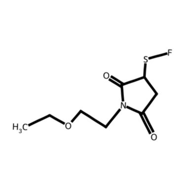 CCOCCN1C(=O)CC(SF)C1=O